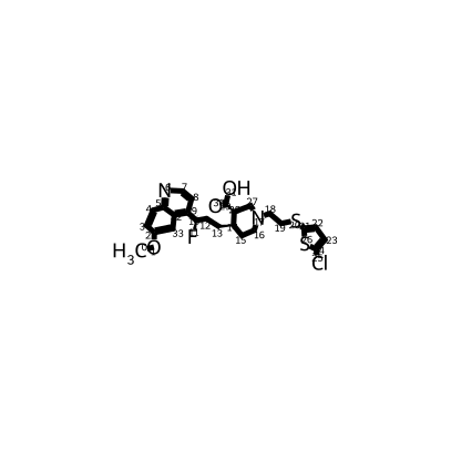 COc1ccc2nccc([C@H](F)CC[C@@H]3CCN(CCSc4ccc(Cl)s4)C[C@@H]3C(=O)O)c2c1